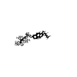 CC(C)CCC[C@@H](C)[C@H]1CCC2C3CC=C4C[C@@H](OO[PH](=O)OCC(O)C(O)C(O)C(O)C(=O)O)CC[C@]4(C)C3CC[C@@]21C